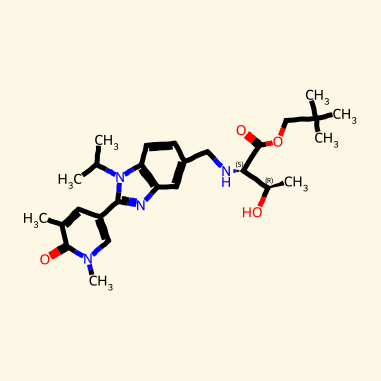 Cc1cc(-c2nc3cc(CN[C@H](C(=O)OCC(C)(C)C)[C@@H](C)O)ccc3n2C(C)C)cn(C)c1=O